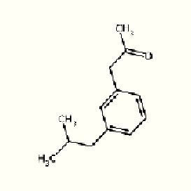 CC(=O)Cc1cccc(CC(C)C)c1